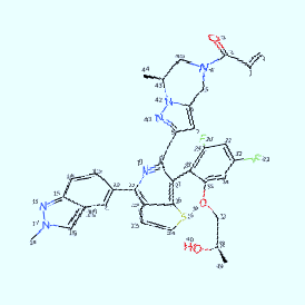 C=CC(=O)N1Cc2cc(-c3nc(-c4ccc5nn(C)cc5c4)c4ccsc4c3-c3c(F)cc(F)cc3OC[C@@H](C)O)nn2[C@@H](C)C1